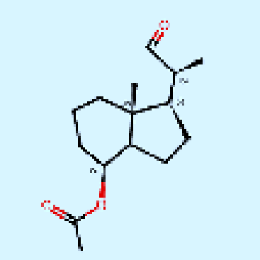 CC(=O)O[C@H]1CCC[C@@]2(C)C1CC[C@@H]2[C@H](C)C=O